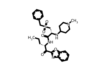 CCC[C@H](NC(=O)[C@H](CS(=O)(=O)Cc1ccccc1)NC1CCN(C)CC1)C(=O)c1nc2ccccc2o1